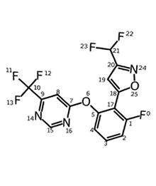 Fc1cccc(Oc2cc(C(F)(F)F)ncn2)c1-c1cc(C(F)F)no1